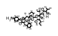 CC[C@H](C)[C@@H]([C@@H](CC(=O)N1CCC[C@H]1[C@H](OC)[C@@H](C)C(=O)N[C@@H](Cc1ccccc1)C(=O)Nc1ccc(N)cc1)OC)N(C)C(=O)[C@H](C(C)C)N(C)C(=O)[C@@H](NC)C(C)C